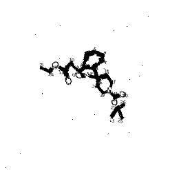 [C-]#[N+]C1(c2ccccc2CCC(=O)OCC)CCN(C(=O)OC(C)(C)C)CC1